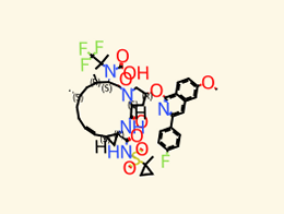 COc1ccc2c(O[C@@H]3C[C@H]4C(=O)N[C@]5(C(=O)NS(=O)(=O)C6(C)CC6)C[C@H]5C=CCC[C@H](C)C[C@@H](C)[C@H](N(C(=O)O)C(C)(C)C(F)(F)F)C(=O)N4C3)nc(-c3ccc(F)cc3)cc2c1